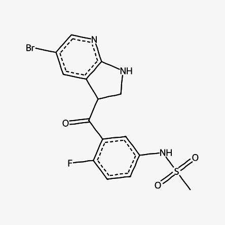 CS(=O)(=O)Nc1ccc(F)c(C(=O)C2CNc3ncc(Br)cc32)c1